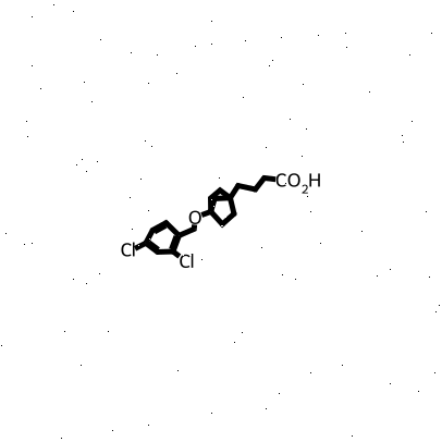 O=C(O)CCCC12CCC(OCc3ccc(Cl)cc3Cl)(CC1)C2